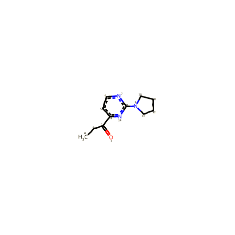 CCC(=O)c1ccnc(N2CCCC2)n1